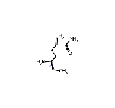 C=C(CC/C(N)=C\C)C(N)=O